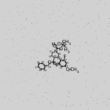 COc1cc(F)c([C@@H]2CN(C(=O)OC(C)(C)C)CCC2C(=O)OCc2ccccc2)c(F)c1